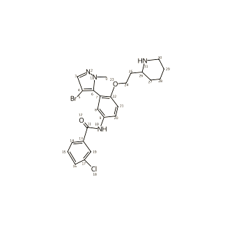 Cn1ncc(Br)c1-c1cc(NC(=O)c2cccc(Cl)c2)ccc1OCCC1CCCCN1